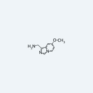 COc1ccn2cnc(CN)c2c1